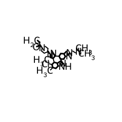 C=CC(=O)N1CCC(n2nc(-c3ccc4nn(CCN(C)C)cc4c3)c(-c3c(Cl)c(C)cc4[nH]ncc34)c2C)CC1